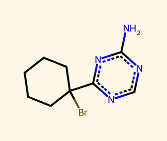 Nc1ncnc(C2(Br)CCCCC2)n1